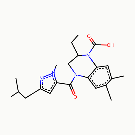 CCC1CN(C(=O)c2cc(CC(C)C)nn2C)c2cc(C)c(C)cc2N1C(=O)O